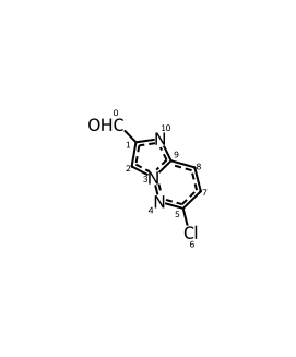 O=Cc1cn2nc(Cl)ccc2n1